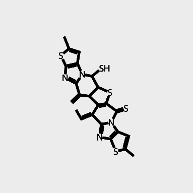 C=C1c2nc3sc(C)cc3n2C(S)C2Sc3c(/c(=C\C)c4nc5sc(C)cc5n4c3=S)C12